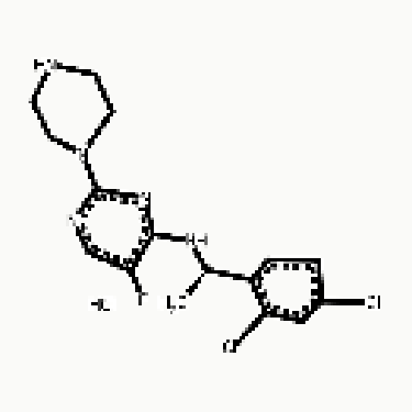 C[C@@H](Nc1nc(N2CCNCC2)ncc1F)c1ccc(Cl)cc1Cl.Cl